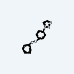 c1ccc(COc2ccc(-n3ccnn3)cc2)cc1